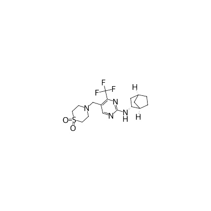 O=S1(=O)CCN(Cc2cnc(N[C@@H]3C[C@H]4CC[C@@H]3C4)nc2C(F)(F)F)CC1